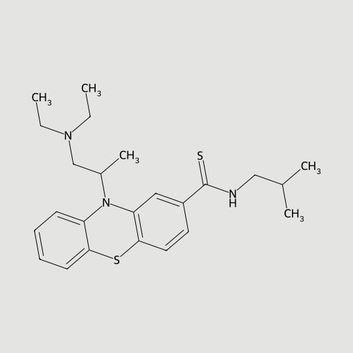 CCN(CC)CC(C)N1c2ccccc2Sc2ccc(C(=S)NCC(C)C)cc21